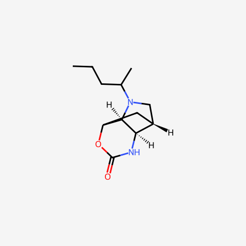 CCCC(C)N1C[C@H]2CC3OC(=O)N[C@H]2[C@@H]31